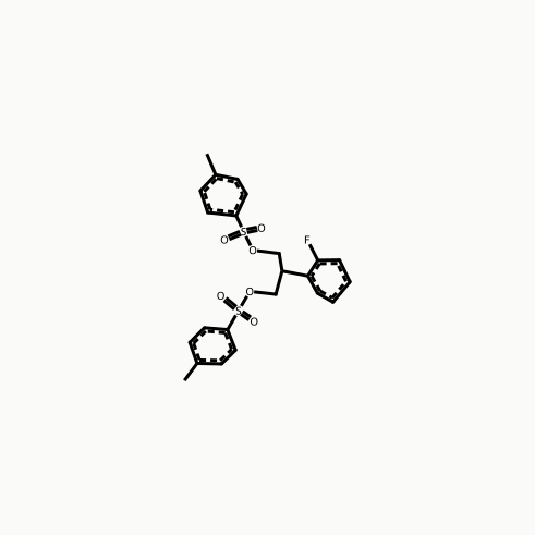 Cc1ccc(S(=O)(=O)OCC(COS(=O)(=O)c2ccc(C)cc2)c2ccccc2F)cc1